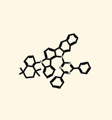 CC1(C)CCC(C)(C)c2c(-n3c4ccccc4c4c3ccc3c5cc6ccccc6cc5n(-c5nc(-c6ccccc6)nc(-c6ccccc6)n5)c34)cccc21